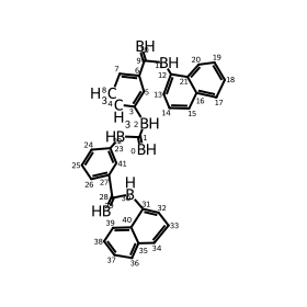 B=C(B/C(C)=C/C(=C\C)C(=B)Bc1cccc2ccccc12)Bc1cccc(C(=B)Bc2cccc3ccccc23)c1